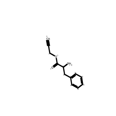 C#CCOC(=O)C(N)Cc1ccccc1